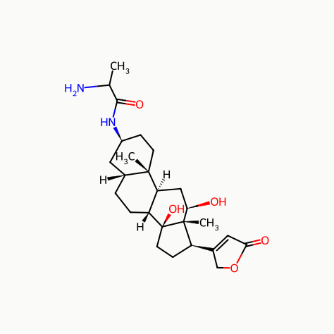 CC(N)C(=O)N[C@H]1CC[C@@]2(C)[C@H](CC[C@@H]3[C@@H]2C[C@@H](O)[C@]2(C)[C@@H](C4=CC(=O)OC4)CC[C@]32O)C1